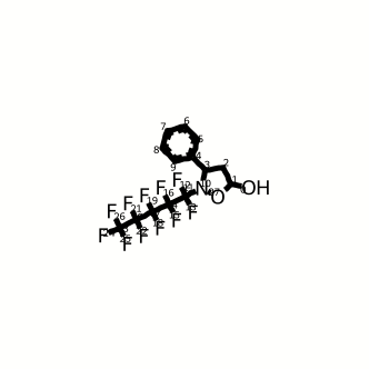 OC1CC(c2ccccc2)N(C(F)(F)C(F)(F)C(F)(F)C(F)(F)C(F)(F)F)O1